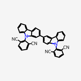 N#Cc1cccc(C#N)c1-n1c2ccccc2c2cc(-c3ccc4c5ccccc5n(-c5c(C#N)cccc5C#N)c4c3)ccc21